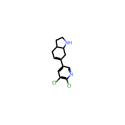 Clc1cc(C2=CCC3CCNC3C2)cnc1Cl